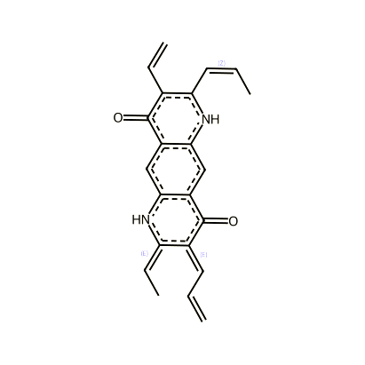 C=C/C=c1/c(=O)c2cc3[nH]c(/C=C\C)c(C=C)c(=O)c3cc2[nH]/c1=C/C